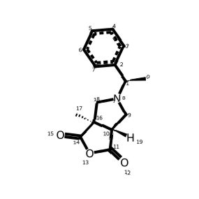 C[C@H](c1ccccc1)N1C[C@@H]2C(=O)OC(=O)[C@@]2(C)C1